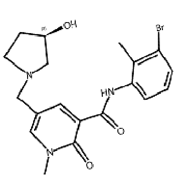 Cc1c(Br)cccc1NC(=O)c1cc(CN2CC[C@@H](O)C2)cn(C)c1=O